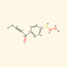 CCC#CC(=O)c1ccc(SOOC)cc1